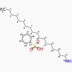 CCCCCCCCCCCCCCCCCCN.O=S(=O)(O)c1ccccc1